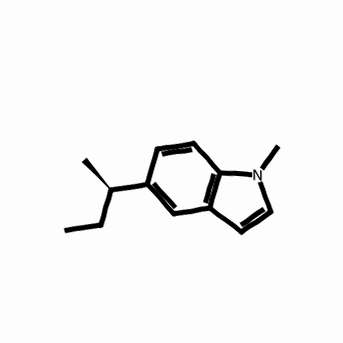 CC[C@@H](C)c1ccc2c(ccn2C)c1